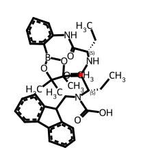 CC[C@H](NC(=O)[C@H](CC)N(CC1c2ccccc2-c2ccccc21)C(=O)O)C(=O)Nc1ccccc1B1OC(C)(C)C(C)(C)O1